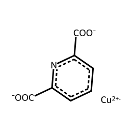 O=C([O-])c1cccc(C(=O)[O-])n1.[Cu+2]